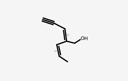 C#C/C=C(\C=C/C)CO